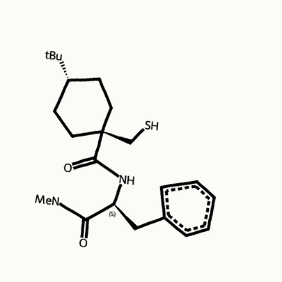 CNC(=O)[C@H](Cc1ccccc1)NC(=O)[C@]1(CS)CC[C@H](C(C)(C)C)CC1